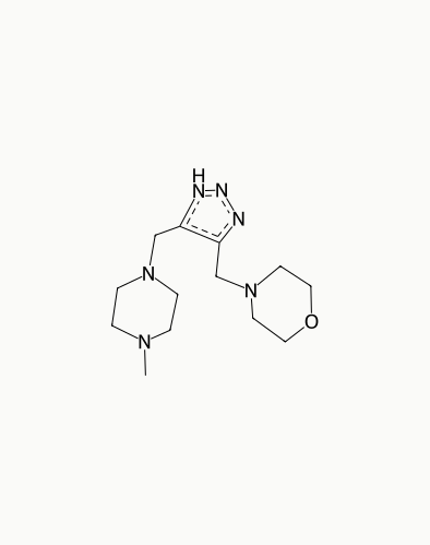 CN1CCN(Cc2[nH]nnc2CN2CCOCC2)CC1